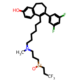 CN(CCCCCCC1=C(c2cc(F)cc(F)c2)CCCc2cc(O)ccc21)CCC[S+]([O-])CCC(F)(F)F